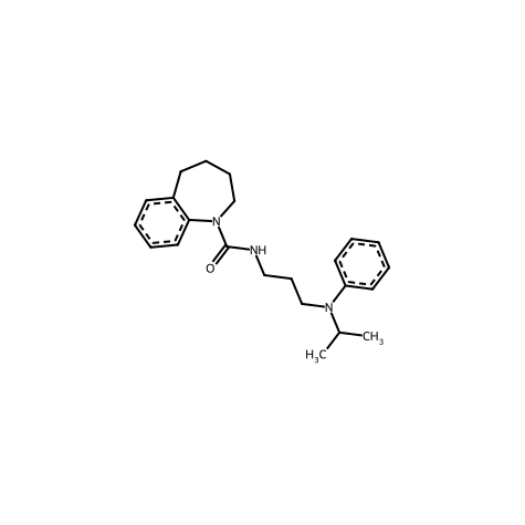 CC(C)N(CCCNC(=O)N1CCCCc2ccccc21)c1ccccc1